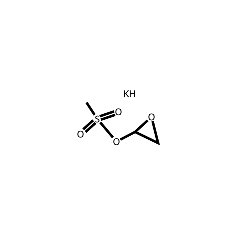 CS(=O)(=O)OC1CO1.[KH]